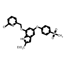 CCOC(=O)c1cc2cc(Oc3ccc(S(C)(=O)=O)cc3)cc(OCc3cccc(Cl)n3)c2[nH]1